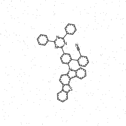 N#Cc1ccccc1-c1cc(-c2nc(-c3ccccc3)nc(-c3ccccc3)n2)ccc1-n1c2ccccc2c2c3sc4ccccc4c3ccc21